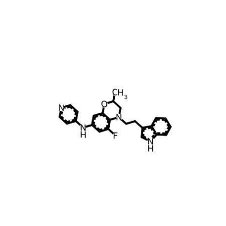 CC1CN(CCc2c[nH]c3ccccc23)c2c(F)cc(Nc3ccncc3)cc2O1